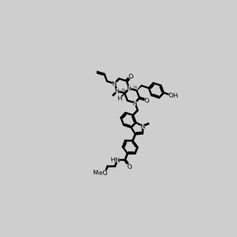 C=CCN1CC(=O)N2[C@@H](Cc3ccc(O)cc3)C(=O)N(Cc3cccc4c(-c5ccc(C(=O)NCCOC)cc5)cn(C)c34)C[C@@H]2N1C